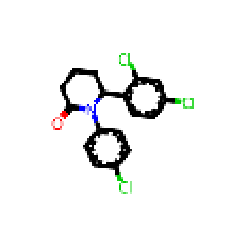 O=C1CCCC(c2ccc(Cl)cc2Cl)N1c1ccc(Cl)cc1